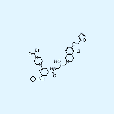 CCC(=O)N1CCN(C2=NC(NC3CCC3)CC(C(=O)NC[C@H](O)CN3CCc4c(ccc(OCc5cnco5)c4Cl)C3)C2)CC1